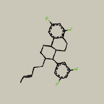 CC=CCCC1CCC2c3cc(F)cc(F)c3CCC2C1c1cc(F)cc(F)c1